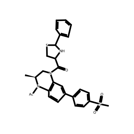 CC(=O)N1c2ccc(-c3ccc(S(C)(=O)=O)cc3)cc2N(C(=O)C2CSC(c3ccccc3)N2)C[C@@H]1C